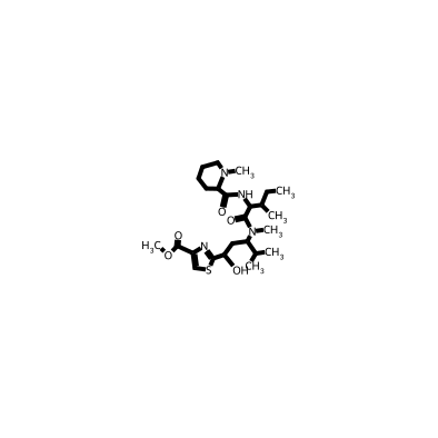 CCC(C)C(NC(=O)C1CCCCN1C)C(=O)N(C)C(CC(O)c1nc(C(=O)OC)cs1)C(C)C